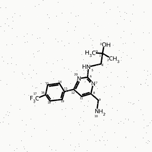 CC(C)(O)CNc1nc(CN)cc(-c2ccc(C(F)(F)F)cc2)n1